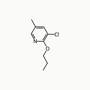 CCCOc1ncc(C)cc1Cl